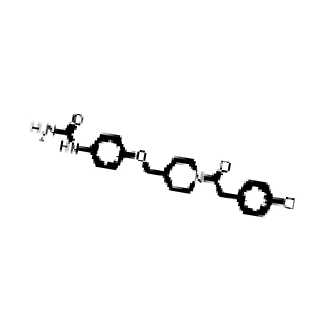 NC(=O)Nc1ccc(OCC2CCN(C(=O)Cc3ccc(Cl)cc3)CC2)cc1